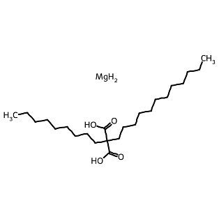 CCCCCCCCCCCCC(CCCCCCCCC)(C(=O)O)C(=O)O.[MgH2]